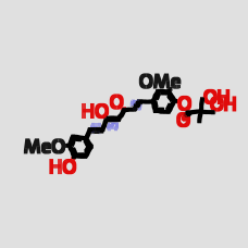 COc1cc(/C=C/C(O)=C/C(=O)/C=C/c2ccc(OC(=O)C(C)(CO)CO)c(OC)c2)ccc1O